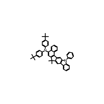 CC(C)(C)c1ccc(N(c2ccc(C(C)(C)C)cc2)c2cc3c(c4ccccc24)-c2cc4c(cc2C3(C)C)c2ccccc2n4-c2ccccc2)cc1